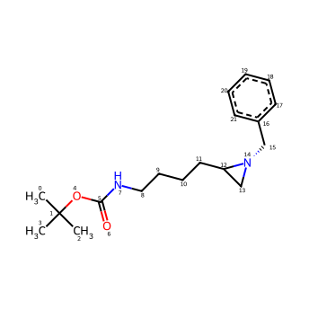 CC(C)(C)OC(=O)NCCCCC1C[N@@]1Cc1ccccc1